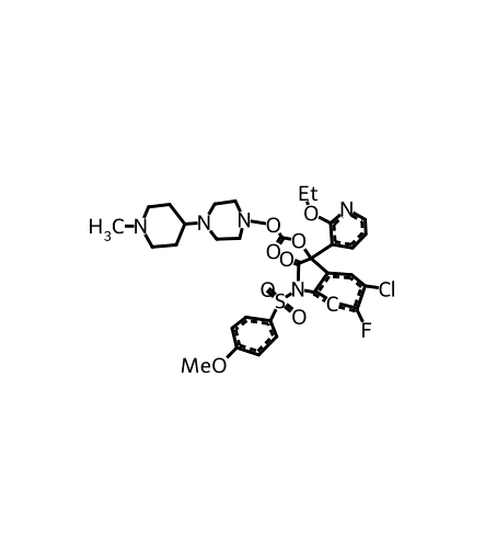 CCOc1ncccc1C1(OC(=O)ON2CCN(C3CCN(C)CC3)CC2)C(=O)N(S(=O)(=O)c2ccc(OC)cc2)c2cc(F)c(Cl)cc21